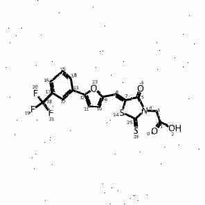 O=C(O)CN1C(=O)C(=Cc2ccc(-c3cccc(C(F)(F)F)c3)o2)SC1=S